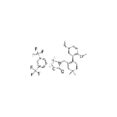 COC1=C(C2=C(CN3C(=O)O[C@H](c4cc(C(F)(F)F)cc(C(F)(F)F)c4)[C@@H]3C)CC(C)(C)CC2)CC(SC)C=C1